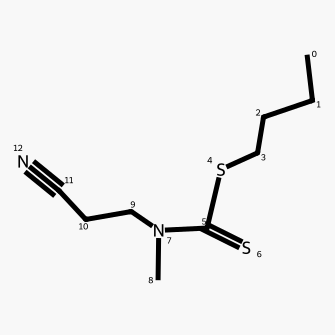 CCCCSC(=S)N(C)CCC#N